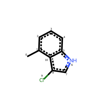 Cc1cccc2[nH]cc(Cl)c12